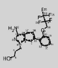 Nc1nn(CCCO)c2cc(-c3ccccc3OCC(F)(F)C(F)(F)F)ccc12